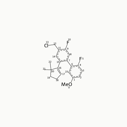 COc1ccc(F)c(-c2cc(F)c(CCl)cc2C2=CCCC2(C)C)c1